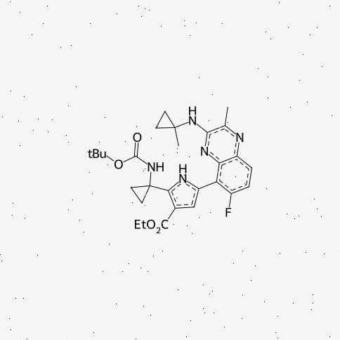 CCOC(=O)c1cc(-c2c(F)ccc3nc(C)c(NC4(C)CC4)nc23)[nH]c1C1(NC(=O)OC(C)(C)C)CC1